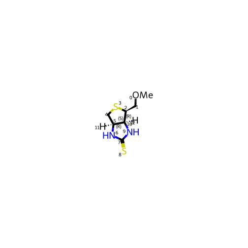 COC[C@@H]1SC[C@@H]2NC(=S)N[C@@H]21